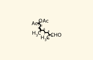 CC(=O)OC(CC=C(C)CCCC(C)C=O)C(C)=O